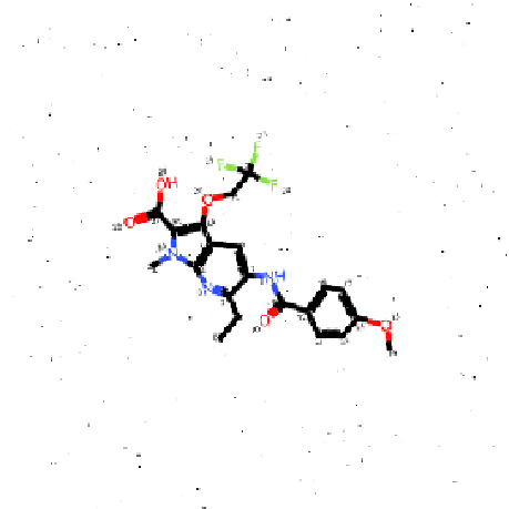 CCc1nc2c(cc1NC(=O)c1ccc(OC)cc1)c(OCC(F)(F)F)c(C(=O)O)n2C